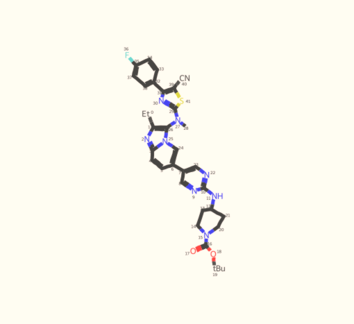 CCc1nc2ccc(-c3cnc(NC4CCN(C(=O)OC(C)(C)C)CC4)nc3)cn2c1N(C)c1nc(-c2ccc(F)cc2)c(C#N)s1